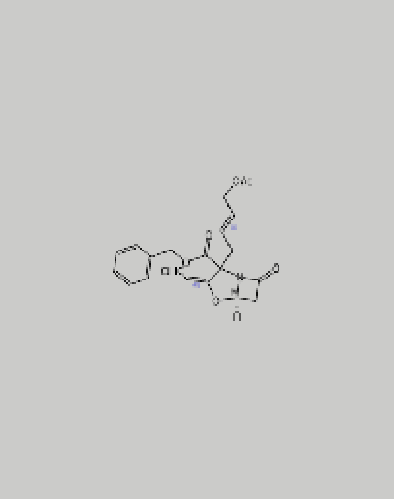 CC(=O)OC/C=C/CC1(C(=O)OCc2ccccc2)/C(=C\C=O)O[C@@H]2CC(=O)N21